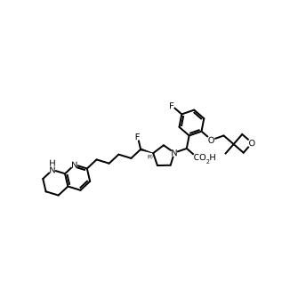 CC1(COc2ccc(F)cc2C(C(=O)O)N2CC[C@@H](C(F)CCCCc3ccc4c(n3)NCCC4)C2)COC1